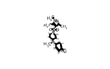 Cc1nn(C)c(C)c1S(=O)(=O)N1CCC(N(C)c2ccc(Cl)cc2)CC1